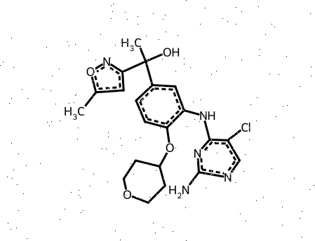 Cc1cc(C(C)(O)c2ccc(OC3CCOCC3)c(Nc3nc(N)ncc3Cl)c2)no1